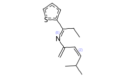 C=C(/C=C\C(C)C)/N=C(\CC)c1cccs1